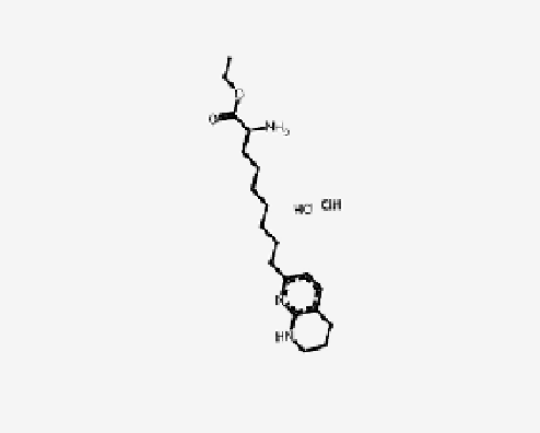 CCOC(=O)[C@@H](N)CCCCCCCc1ccc2c(n1)NCCC2.Cl.Cl